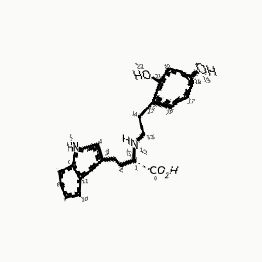 O=C(O)[C@H](Cc1c[nH]c2ccccc12)NCCc1ccc(O)cc1O